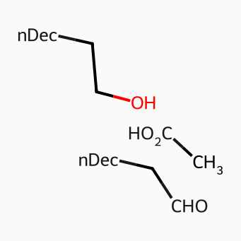 CC(=O)O.CCCCCCCCCCCC=O.CCCCCCCCCCCCO